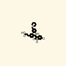 O=C(O)CCc1ccc(C(Nc2ccc(CN3CCCCC3)cc2)=C2C(=O)Nc3cc(Cl)ccc32)cc1